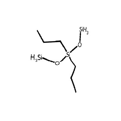 CCC[Si](CCC)(O[SiH3])O[SiH3]